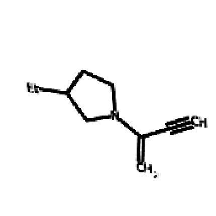 C#CC(=C)N1CCC(CC)C1